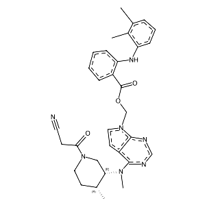 Cc1cccc(Nc2ccccc2C(=O)OCn2ccc3c(N(C)[C@H]4CN(C(=O)CC#N)CC[C@H]4C)ncnc32)c1C